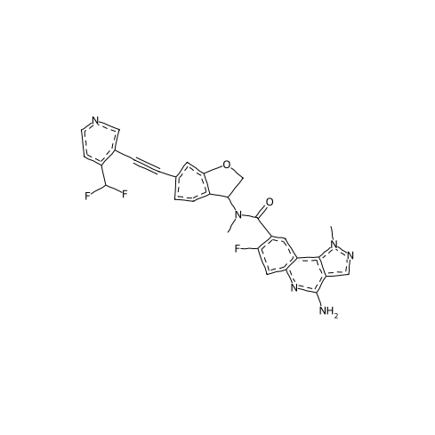 CN(C(=O)c1cc2c(cc1F)nc(N)c1cnn(C)c12)C1COc2cc(C#Cc3cnccc3C(F)F)ccc21